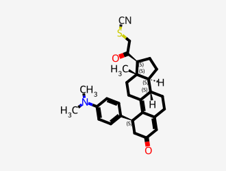 CN(C)c1ccc([C@@H]2CC(=O)C=C3CC[C@@H]4C(=C32)CC[C@]2(C)[C@@H](C(=O)CSC#N)CC[C@@H]42)cc1